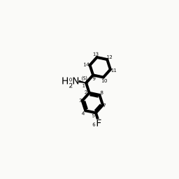 N[C@H](c1ccc(F)cc1)C1CCCCC1